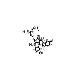 C=CCN(C)CCCN1C(=C)N2[C@H](c3cccc(O)c3)c3[nH]c4ccc(Br)cc4c3C[C@@]2(C)C1=O